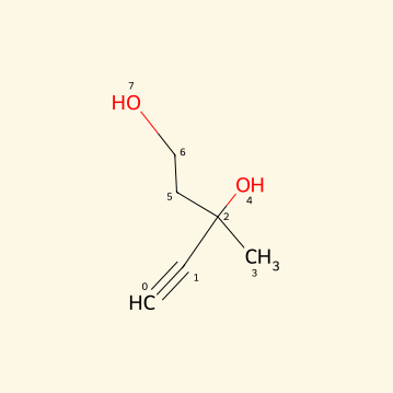 C#CC(C)(O)CCO